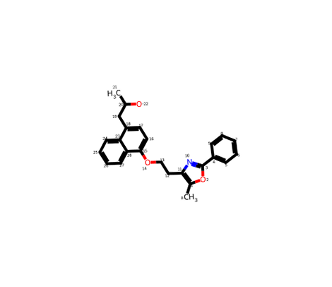 Cc1oc(-c2ccccc2)nc1CCOc1ccc(CC(C)[O])c2ccccc12